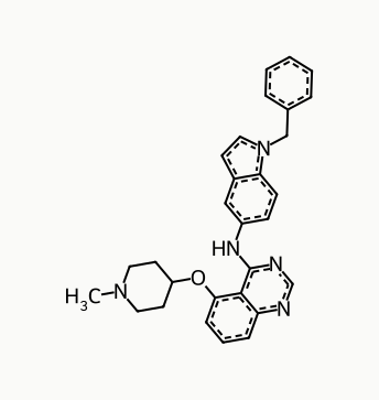 CN1CCC(Oc2cccc3ncnc(Nc4ccc5c(ccn5Cc5ccccc5)c4)c23)CC1